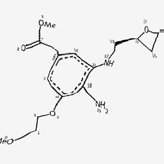 COCCOc1cc(C(=O)OC)cc(NC[C@@H]2CCO2)c1N